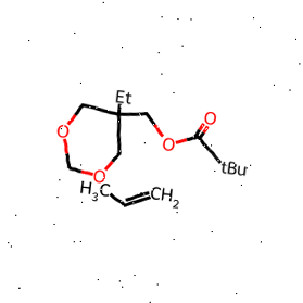 C=CC.CCC1(COC(=O)C(C)(C)C)COCOC1